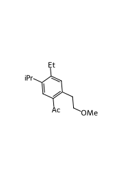 CCc1cc(CCOC)c(C(C)=O)cc1C(C)C